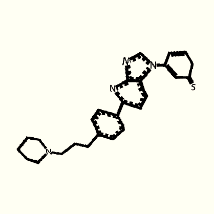 S=C1C=C(n2cnc3nc(-c4ccc(CCCN5CCCCC5)cc4)ccc32)C=CC1